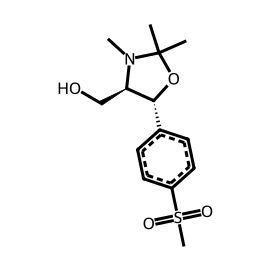 CN1[C@H](CO)[C@@H](c2ccc(S(C)(=O)=O)cc2)OC1(C)C